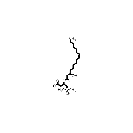 CCCCCC/C=C\CCCCCC(O)CC(=O)OC(CC(=O)[O-])C[N+](C)(C)C